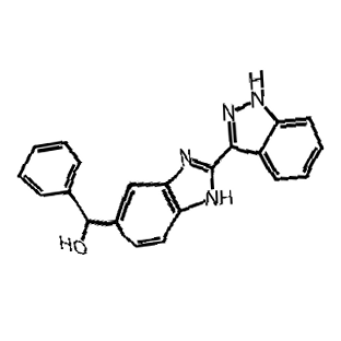 OC(c1ccccc1)c1ccc2[nH]c(-c3n[nH]c4ccccc34)nc2c1